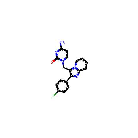 Nc1ccn(Cc2c(-c3ccc(Cl)cc3)nc3ccccn23)c(=O)n1